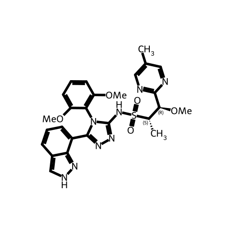 COc1cccc(OC)c1-n1c(NS(=O)(=O)[C@@H](C)[C@H](OC)c2ncc(C)cn2)nnc1-c1cccc2c[nH]nc12